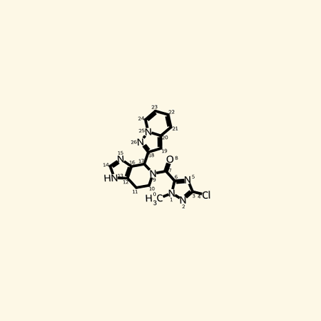 Cn1nc(Cl)nc1C(=O)N1CCc2[nH]cnc2C1c1cc2ccccn2n1